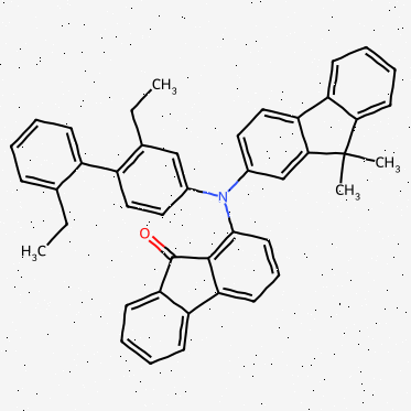 CCc1ccccc1-c1ccc(N(c2ccc3c(c2)C(C)(C)c2ccccc2-3)c2cccc3c2C(=O)c2ccccc2-3)cc1CC